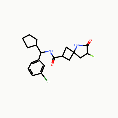 O=C1NC2(CC1F)CC(C(=O)NC(c1cccc(Cl)c1)C1CCCC1)C2